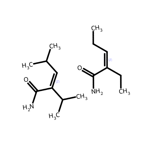 CC(C)/C=C(\C(N)=O)C(C)C.CC/C=C(/CC)C(N)=O